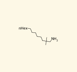 CCCCCCCCCCCCC(C)(C)CN